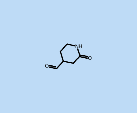 O=CC1CCNC(=O)C1